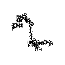 Cc1ncsc1-c1ccc(CNC(=O)[C@@H]2C[C@@H](O)CN2C(=O)[C@@H](NC(=O)CCCCCCCCCC(=O)N2CCN(c3cccc(-c4cnc5ccc(N6CCCC6c6cccc(F)c6)nn45)n3)CC2)C(C)(C)C)cc1